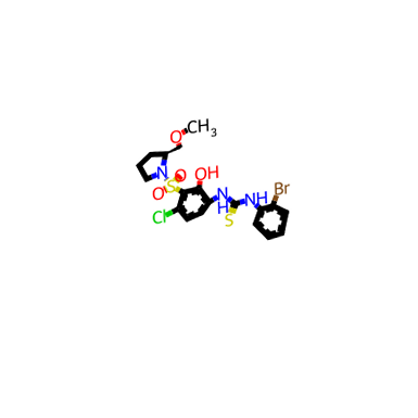 COC[C@@H]1CCCN1S(=O)(=O)c1c(Cl)ccc(NC(=S)Nc2ccccc2Br)c1O